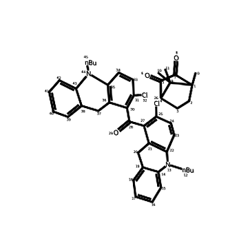 CC12CCC(C(=O)C1=O)C2(C)C.CCCCN1c2ccccc2Cc2c1ccc(Cl)c2C(=O)c1c(Cl)ccc2c1Cc1ccccc1N2CCCC